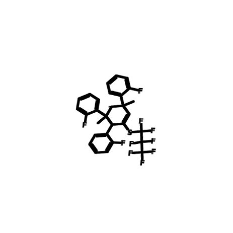 CC1(c2ccccc2F)[CH]C(C)(c2ccccc2F)C(c2ccccc2F)C(SC(F)(F)C(F)(F)C(F)(F)F)=C1